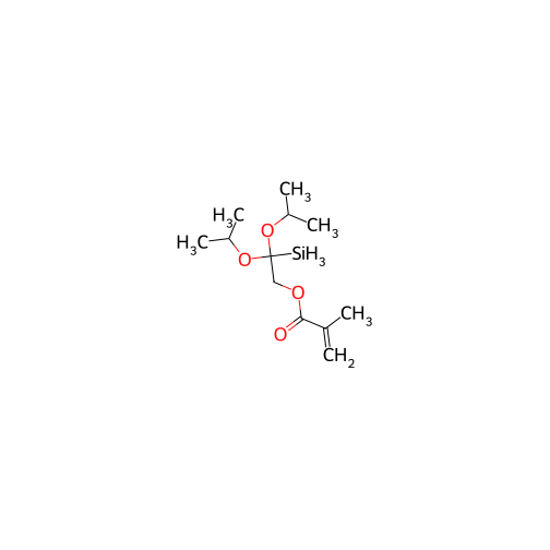 C=C(C)C(=O)OCC([SiH3])(OC(C)C)OC(C)C